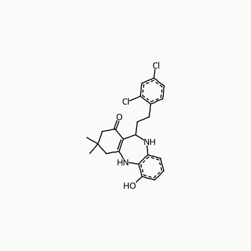 CC1(C)CC(=O)C2=C(C1)Nc1c(O)cccc1NC2CCc1ccc(Cl)cc1Cl